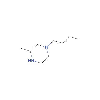 CCCCN1CCNC(C)C1